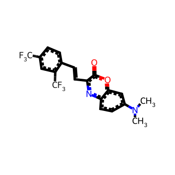 CN(C)c1ccc2nc(C=Cc3ccc(C(F)(F)F)cc3C(F)(F)F)c(=O)oc2c1